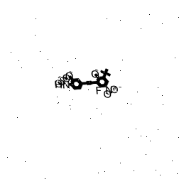 COc1cc(C#Cc2c(F)c([N+](=O)[O-])cc(C(C)(C)C)c2OC)ccc1NS(C)(=O)=O